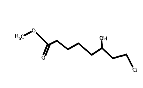 COC(=O)CCCCC(O)CCCl